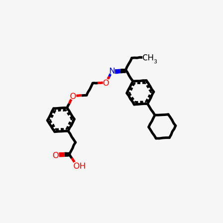 CCC(=NOCCOc1cccc(CC(=O)O)c1)c1ccc(C2CCCCC2)cc1